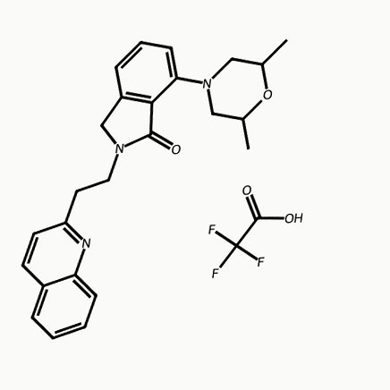 CC1CN(c2cccc3c2C(=O)N(CCc2ccc4ccccc4n2)C3)CC(C)O1.O=C(O)C(F)(F)F